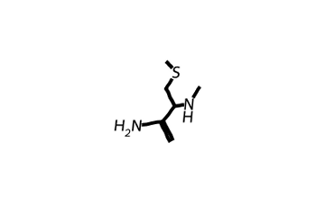 C=C(N)C(CSC)NC